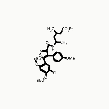 CCCCOc1cc(OCCCC)c(-c2onc(C(=O)NC(C)CC(C)CC(=O)OCC)c2-c2ccc(OC)cc2)cc1Cl